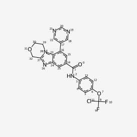 O=C(Nc1ccc(OC(F)(F)Cl)cc1)c1cc(-c2cncnc2)c2c(c1)nc1n2CCOC1